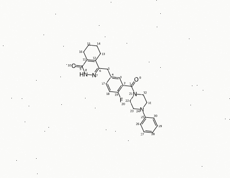 O=C(c1cc(Cc2n[nH]c(=O)c3c2CCCC3)ccc1F)N1CCN(c2ccccc2)CC1